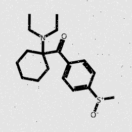 CCN(CC)C1(C(=O)c2ccc([S+](C)[O-])cc2)CCCCC1